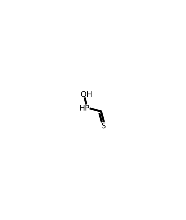 OPC=S